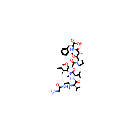 CC[C@H](C)[C@@H]([C@@H](CC(=O)N1CCC[C@H]1[C@H](OC)[C@@H](C)C(=O)N[C@@H](Cc1ccccc1)C(=O)O)OC)N(C)C(=O)[C@@H](NC(=O)[C@H](C(C)C)N(C)C[C@@H](C)NC(=O)CN)C(C)C